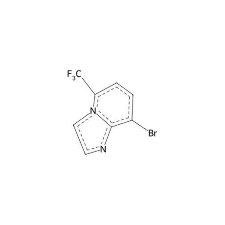 FC(F)(F)c1ccc(Br)c2nccn12